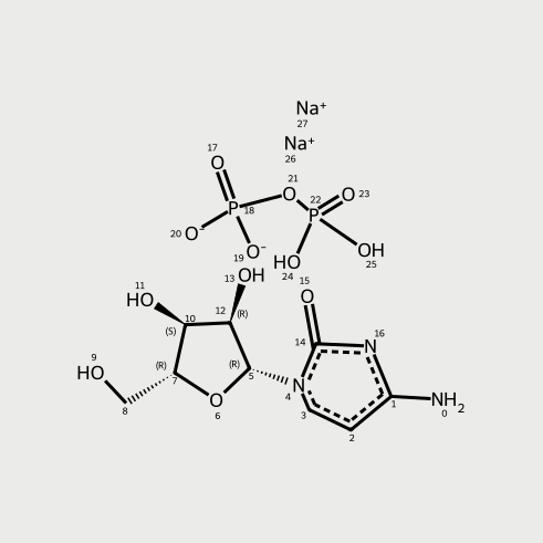 Nc1ccn([C@@H]2O[C@H](CO)[C@@H](O)[C@H]2O)c(=O)n1.O=P([O-])([O-])OP(=O)(O)O.[Na+].[Na+]